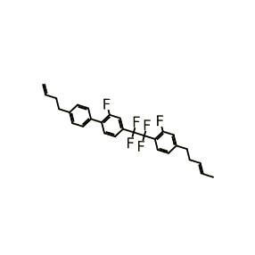 C=CCCc1ccc(-c2ccc(C(F)(F)C(F)(F)c3ccc(CC/C=C/C)cc3F)cc2F)cc1